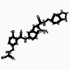 CC(C)C(=O)NCc1ccc(Cl)c(C(=O)Nc2ccc3c(c2)cc(C(=O)NCc2ccc4c(c2)OCO4)n3C)c1